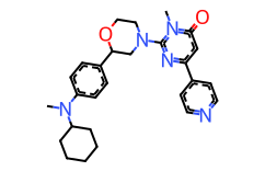 CN(c1ccc(C2CN(c3nc(-c4ccncc4)cc(=O)n3C)CCO2)cc1)C1CCCCC1